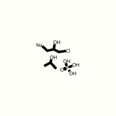 CC(C)O.O=P(O)(O)O.OC([CH2][Na])CCl